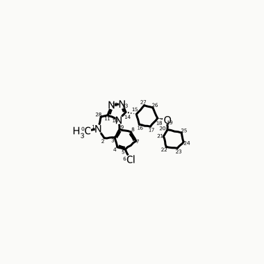 CN1Cc2cc(Cl)ccc2-n2c(nnc2[C@H]2CC[C@@H](OC3CCCCC3)CC2)C1